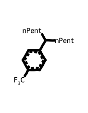 CCCCCC(CCCCC)c1ccc(C(F)(F)F)cc1